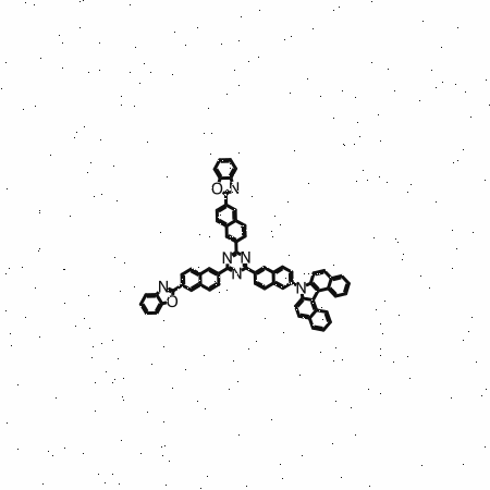 c1ccc2c(c1)ccc1c2c2c3ccccc3ccc2n1-c1ccc2cc(-c3nc(-c4ccc5cc(-c6nc7ccccc7o6)ccc5c4)nc(-c4ccc5cc(-c6nc7ccccc7o6)ccc5c4)n3)ccc2c1